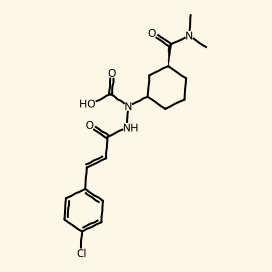 CN(C)C(=O)[C@H]1CCCC(N(NC(=O)C=Cc2ccc(Cl)cc2)C(=O)O)C1